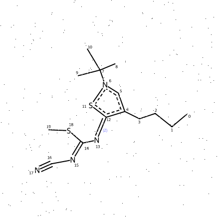 CCCCc1cn(C(C)(C)C)s/c1=N\C(=NC#N)SC